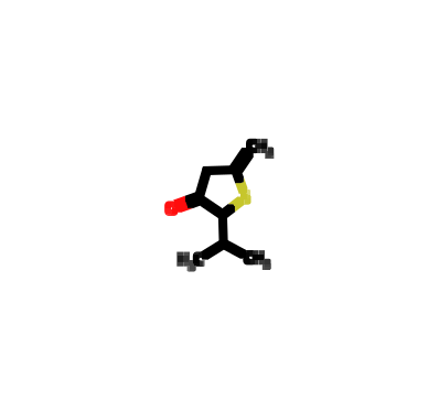 C=C1CC(=O)C(C(C)C)S1